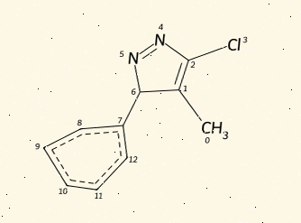 CC1=C(Cl)N=NC1c1ccccc1